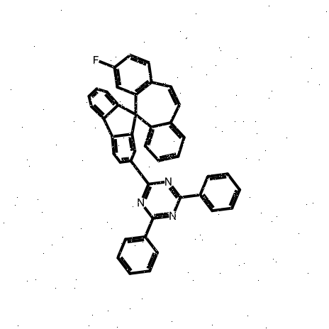 Fc1ccc2c(c1)C1(c3ccccc3C=C2)c2ccccc2-c2ccc(-c3nc(-c4ccccc4)nc(-c4ccccc4)n3)cc21